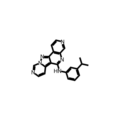 CC(C)c1cccc(Nc2nc3cnccc3c3nn4cnccc4c23)c1